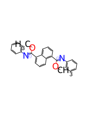 CO/C(=N\c1ccccc1)c1cccc2c(/C(=N/c3ccccc3)OC)cccc12